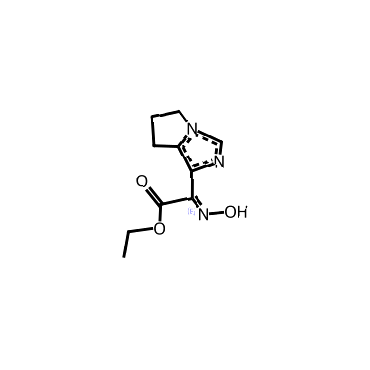 CCOC(=O)/C(=N/O)c1ncn2c1CCC2